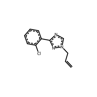 C=CCn1cnc(-c2ccccc2Cl)n1